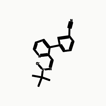 CC(C)(C)[S+]([O-])/N=C\c1ncccc1-c1cccc(C#N)c1